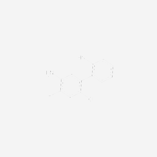 Nc1cc(-c2ccccc2S)c(Cl)cc1F